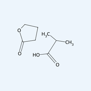 CC(C)C(=O)O.O=C1CCCO1